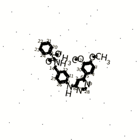 COc1ccc(-c2cc(Nc3ccc(CNS(=O)(=O)c4ccccc4)cc3)ncn2)cc1OC